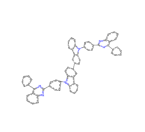 c1ccc(-c2nc(-c3ccc(-n4c5ccccc5c5cc(-c6ccc7c(c6)c6ccccc6n7-c6ccc(-c7nc(-c8ccccc8)c8ccccc8n7)cc6)ccc54)cc3)nc3ccccc23)cc1